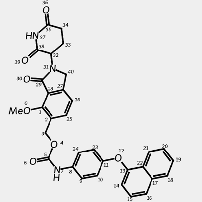 COc1c(COC(=O)Nc2ccc(Oc3cccc4ccccc34)cc2)ccc2c1C(=O)N(C1CCC(=O)NC1=O)C2